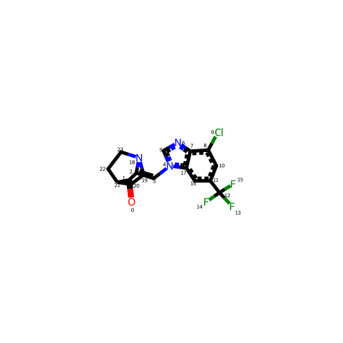 O=C1C(=Cn2cnc3c(Cl)cc(C(F)(F)F)cc32)N2CCC1CC2